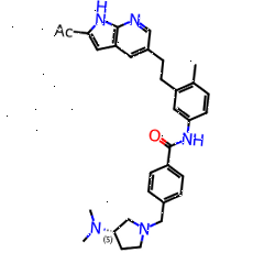 CC(=O)c1cc2cc(CCc3cc(NC(=O)c4ccc(CN5CC[C@H](N(C)C)C5)cc4)ccc3C)cnc2[nH]1